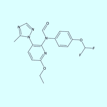 CCOc1ccc(-n2ncnc2C)c(N(C=O)c2ccc(OC(F)F)cc2)n1